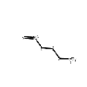 C=NCCCCCC